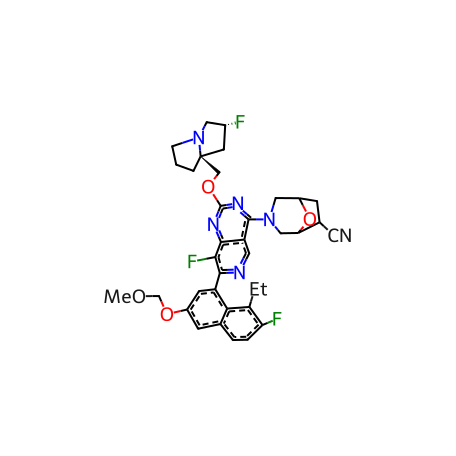 CCc1c(F)ccc2cc(OCOC)cc(-c3ncc4c(N5CC6CC(C#N)C(C5)O6)nc(OC[C@@]56CCCN5C[C@H](F)C6)nc4c3F)c12